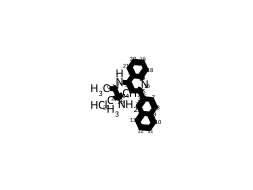 CC(Nc1cc(-c2ccc3ccccc3c2)nc2ccccc12)C(C)(C)N.Cl